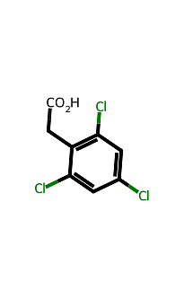 O=C(O)Cc1c(Cl)cc(Cl)cc1Cl